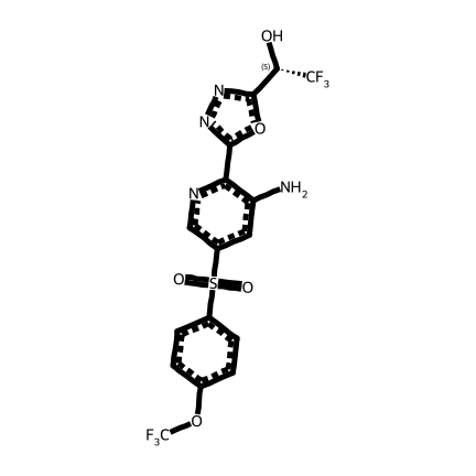 Nc1cc(S(=O)(=O)c2ccc(OC(F)(F)F)cc2)cnc1-c1nnc([C@H](O)C(F)(F)F)o1